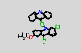 COc1ccc2nc3cc(Cl)ccc3c(Cl)c2c1.Clc1c2ccccc2nc2ccccc12